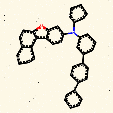 c1ccc(-c2ccc(-c3cccc(N(c4ccccc4)c4ccc5c(c4)oc4ccc6ccccc6c45)c3)cc2)cc1